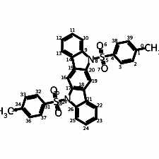 Cc1ccc(S(=O)(=O)n2c3ccccc3c3cc4c(cc32)c2ccccc2n4S(=O)(=O)c2ccc(C)cc2)cc1